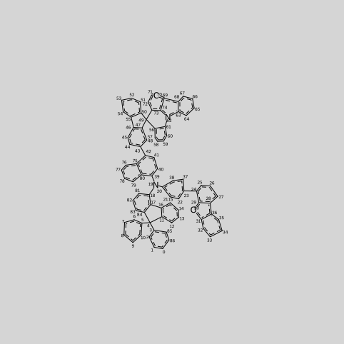 c1ccc(C2(c3ccccc3)c3ccccc3-c3c(N(c4ccc(-c5cccc6c5oc5ccccc56)cc4)c4ccc(-c5ccc6c(c5)C5(c7ccccc7-6)c6ccccc6-n6c7ccccc7c7cccc5c76)c5ccccc45)cccc32)cc1